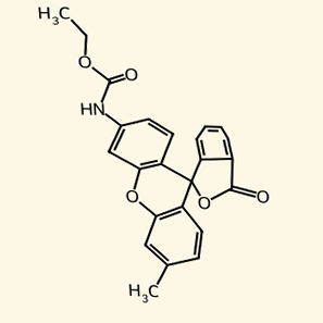 CCOC(=O)Nc1ccc2c(c1)Oc1cc(C)ccc1C21OC(=O)c2ccccc21